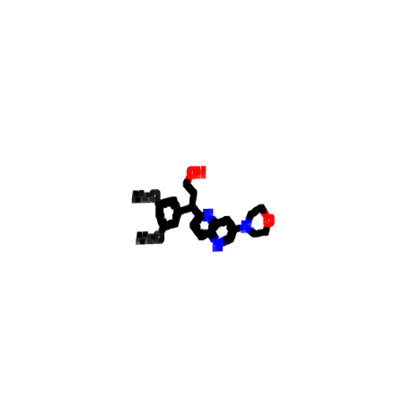 COc1cc(OC)cc(C(CCO)c2ccc3ncc(N4CCOCC4)cc3n2)c1